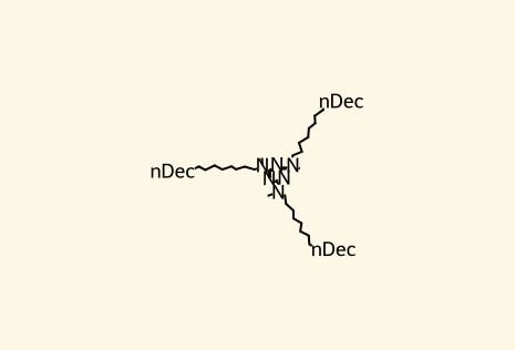 CCCCCCCCCCCCCCCCCCN(C)c1nc(N(C)CCCCCCCCCCCCCCCCCC)nc(N(C)CCCCCCCCCCCCCCCCCC)n1